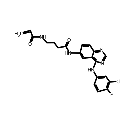 C=CC(=O)NCCCC(=O)Nc1ccc2ncnc(Nc3ccc(F)c(Cl)c3)c2c1